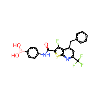 O=C(Nc1ccc(B(O)O)cc1)c1sc2nc(C(F)(F)F)cc(Cc3ccccc3)c2c1F